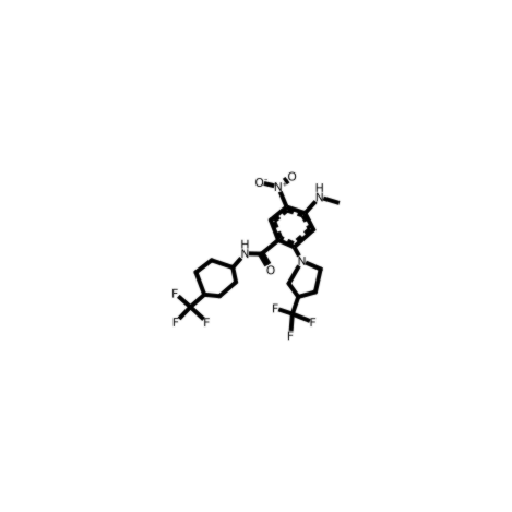 CNc1cc(N2CCC(C(F)(F)F)C2)c(C(=O)NC2CCC(C(F)(F)F)CC2)cc1[N+](=O)[O-]